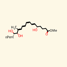 CCCCC[C@H](O)[C@H](O)/C(C)=C/C=C/C=C\C=C\[C@@H](O)CCCC(=O)OC